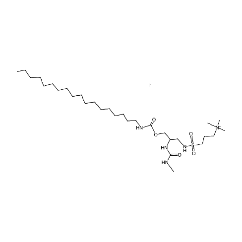 CCCCCCCCCCCCCCCCCCNC(=O)OCC(CNS(=O)(=O)CCC[N+](C)(C)C)NC(=O)NC.[I-]